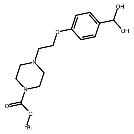 CC(C)(C)OC(=O)N1CCN(CCOc2ccc(C(O)O)cc2)CC1